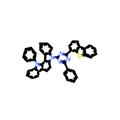 c1ccc(-c2nc(-c3cccc4c3sc3ccccc34)nc(-n3c4ccccc4c4c3ccc3c5ccccc5n(-c5ccccc5)c34)n2)cc1